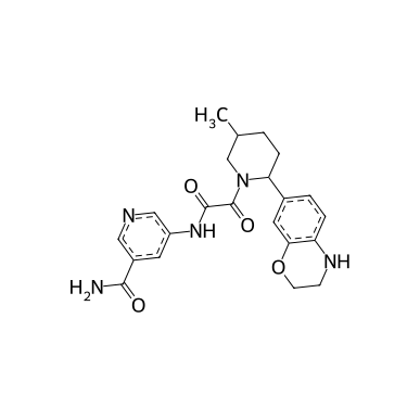 CC1CCC(c2ccc3c(c2)OCCN3)N(C(=O)C(=O)Nc2cncc(C(N)=O)c2)C1